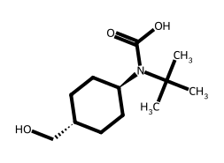 CC(C)(C)N(C(=O)O)[C@H]1CC[C@H](CO)CC1